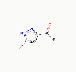 Cc1cc(C(=O)C(C)C)n[nH]1